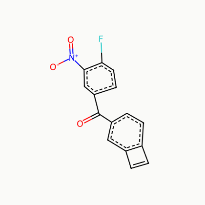 O=C(c1ccc2c(c1)C=C2)c1ccc(F)c([N+](=O)[O-])c1